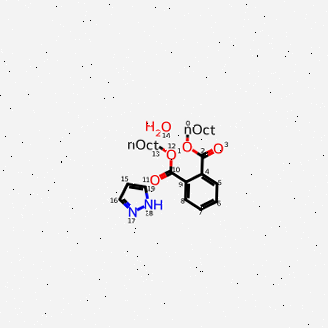 CCCCCCCCOC(=O)c1ccccc1C(=O)OCCCCCCCC.O.c1cn[nH]c1